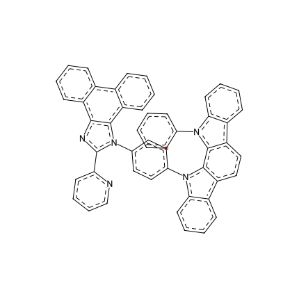 c1ccc(-n2c3ccccc3c3ccc4c5ccccc5n(-c5ccc(-n6c(-c7ccccn7)nc7c8ccccc8c8ccccc8c76)cc5)c4c32)cc1